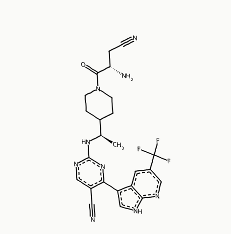 C[C@@H](Nc1ncc(C#N)c(-c2c[nH]c3ncc(C(F)(F)F)cc23)n1)C1CCN(C(=O)[C@@H](N)CC#N)CC1